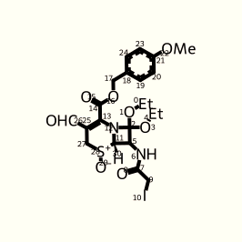 CCOC1(OCC)C(NC(=O)CI)[C@H]2N1C(C(=O)OCc1ccc(OC)cc1)=C(C=O)C[S+]2[O-]